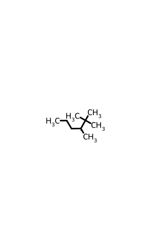 CCC[C](C)C(C)(C)C